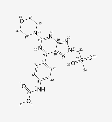 COC(=O)Nc1ccc(-c2nc(N3CCOCC3)nc3nn(CS(C)(=O)=O)cc23)cc1